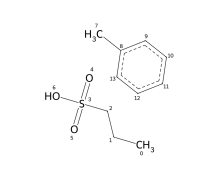 CCCS(=O)(=O)O.Cc1ccccc1